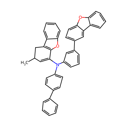 CC1C=C(N(c2ccc(-c3ccccc3)cc2)c2cccc(-c3ccc4oc5ccccc5c4c3)c2)c2oc3ccccc3c2C1